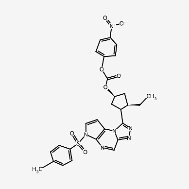 CC[C@@H]1C[C@H](OC(=O)Oc2ccc([N+](=O)[O-])cc2)CC1c1nnc2cnc3c(ccn3S(=O)(=O)c3ccc(C)cc3)n12